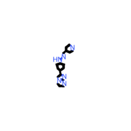 C(=NNc1ccc(-c2cn3cccnc3n2)cc1)c1ccncc1